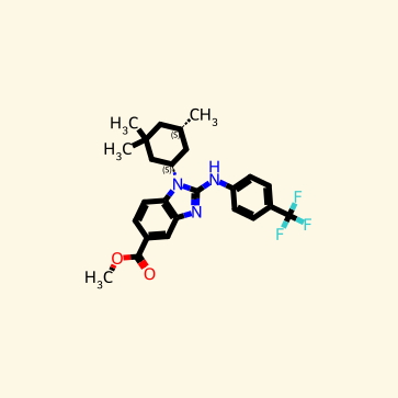 COC(=O)c1ccc2c(c1)nc(Nc1ccc(C(F)(F)F)cc1)n2[C@H]1C[C@@H](C)CC(C)(C)C1